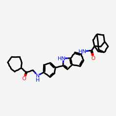 O=C(CNc1ccc(-c2cc3ccc(NC(=O)C45CC6CC(CC(C6)C4)C5)cc3[nH]2)cc1)C1CCCCCC1